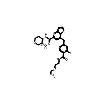 CCOCCNC(=O)c1ccc(Cc2cc(C(=O)N[C@H]3CCOC[C@@H]3O)nc3ccoc23)cc1F